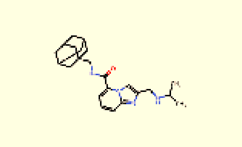 CC(C)NCc1cn2c(C(=O)NCC34CC5CC(CC(C5)C3)C4)cccc2n1